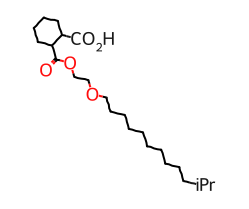 CC(C)CCCCCCCCCCOCCOC(=O)C1CCCCC1C(=O)O